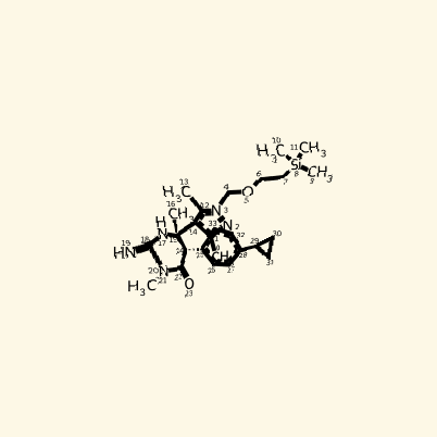 Cc1nn(COCC[Si](C)(C)C)c(C)c1[C@@]1(C)NC(=N)N(C)C(=O)[C@H]1c1ccc(C2CC2)cc1